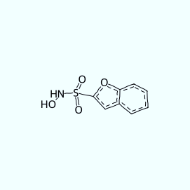 O=S(=O)(NO)c1cc2ccccc2o1